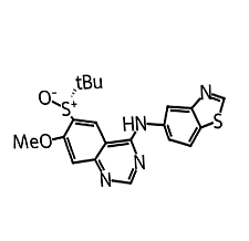 COc1cc2ncnc(Nc3ccc4scnc4c3)c2cc1[S@+]([O-])C(C)(C)C